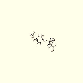 CCOC(=O)C1CCN(CC2CC2)CC1